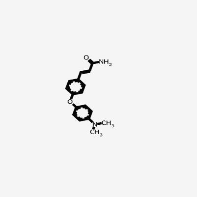 CN(C)c1ccc(Oc2ccc(C=CC(N)=O)cc2)cc1